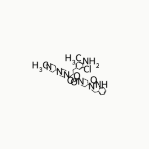 Cc1cc(C[C@@H](OC(=O)N2CCC(N3CCc4ccccc4NC3=O)CC2)C(=O)N2CCN(C3CCN(C)CC3)CC2)cc(Cl)c1N